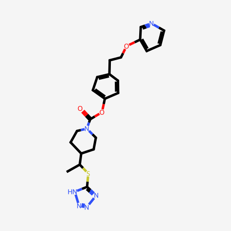 CC(Sc1nnn[nH]1)C1CCN(C(=O)Oc2ccc(CCOc3cccnc3)cc2)CC1